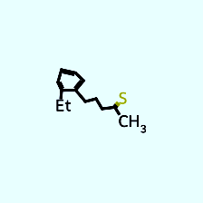 CCc1ccccc1CCCC(C)=S